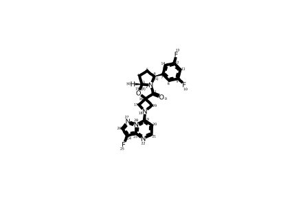 O=C1N2[C@@H](CC[C@H]2c2cc(F)cc(F)c2)OC12CN(c1ccnc3c(F)cnn13)C2